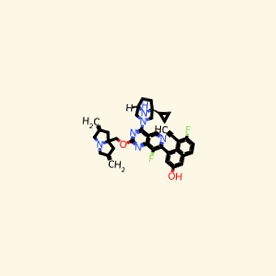 C#Cc1c(F)ccc2cc(O)cc(-c3ncc4c(N5C[C@@H]6CC[C@](C7CC7)(C5)N6)nc(OCC56CC(=C)CN5CC(=C)C6)nc4c3F)c12